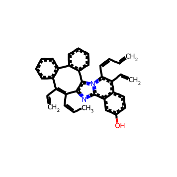 C=C/C=C\c1c(C=C)c2ccc(O)cc2c2nc3c(n12)-c1ccccc1-c1ccccc1/C(C=C)=C3/C=C\C